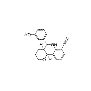 N#Cc1cccc2c1N[C@@H](c1cccc(O)c1)[C@@H]1CCCO[C@H]21